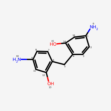 Nc1ccc(Cc2ccc(N)cc2O)c(O)c1